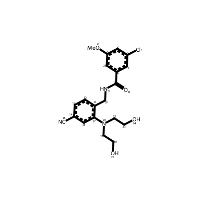 COc1cc(Cl)cc(C(=O)NCc2ccc(C#N)cc2N(CCO)CCO)c1